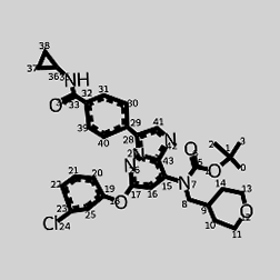 CC(C)(C)OC(=O)N(CC1CCOCC1)c1cc(Oc2cccc(Cl)c2)nn2c(-c3ccc(C(=O)NC4CC4)cc3)cnc12